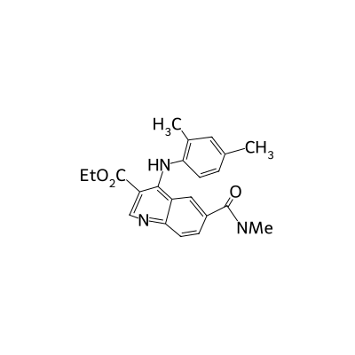 CCOC(=O)c1cnc2ccc(C(=O)NC)cc2c1Nc1ccc(C)cc1C